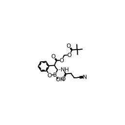 CC(C)(C)C(=O)OCOC(=O)C1c2ccccc2OB(O)[C@H]1NC(=O)CCC#N